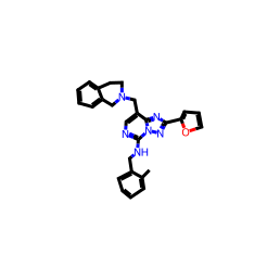 Cc1ccccc1CNc1ncc(CN2CCc3ccccc3C2)c2nc(-c3ccco3)nn12